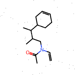 C=CN(CC(C)C(C)C1CC=CCC1)C(C)=O